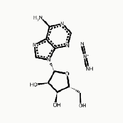 Nc1ncnc2c1ncn2[C@@H]1O[C@H](CO)[C@@H](O)[C@H]1O.[N-]=[N+]=N